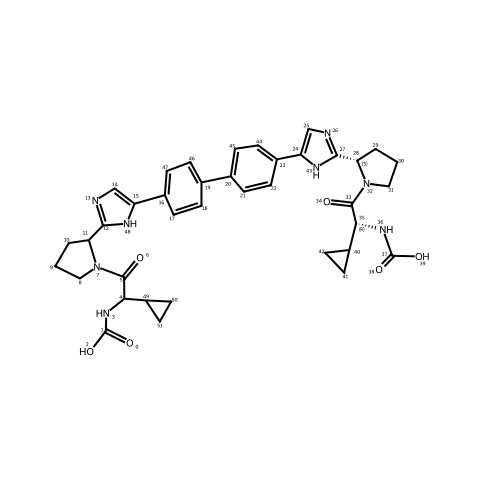 O=C(O)NC(C(=O)N1CCCC1c1ncc(-c2ccc(-c3ccc(-c4cnc([C@@H]5CCCN5C(=O)[C@H](NC(=O)O)C5CC5)[nH]4)cc3)cc2)[nH]1)C1CC1